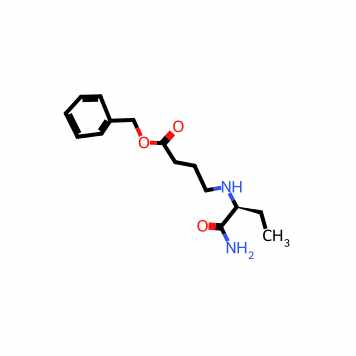 CC[C@H](NCCCC(=O)OCc1ccccc1)C(N)=O